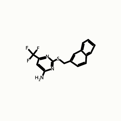 Nc1cc(C(F)(F)F)nc(SCc2ccc3ccccc3c2)n1